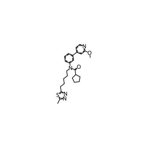 COc1cc(-c2cccc(N(CCCCCc3nnc(C)s3)C(=O)C3CCCC3)c2)ccn1